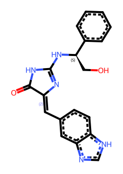 O=C1NC(N[C@H](CO)c2ccccc2)=N/C1=C\c1ccc2[nH]cnc2c1